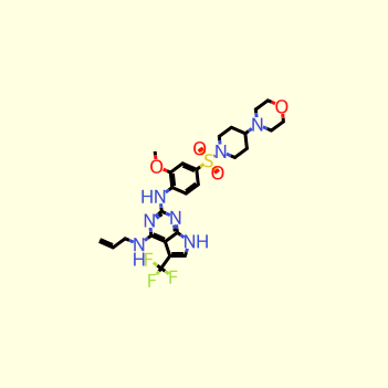 C=CCNc1nc(Nc2ccc(S(=O)(=O)N3CCC(N4CCOCC4)CC3)cc2OC)nc2[nH]cc(C(F)(F)F)c12